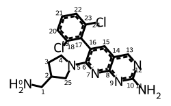 NCC1CCN(c2nc3nc(N)ncc3cc2-c2c(Cl)cccc2Cl)C1